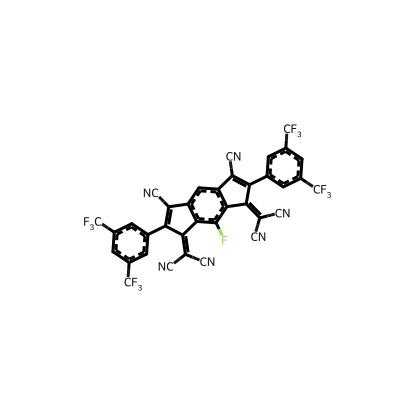 N#CC(C#N)=C1C(c2cc(C(F)(F)F)cc(C(F)(F)F)c2)=C(C#N)c2cc3c(c(F)c21)C(=C(C#N)C#N)C(c1cc(C(F)(F)F)cc(C(F)(F)F)c1)=C3C#N